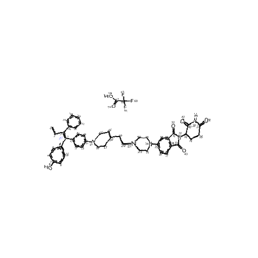 CC/C(=C(\c1ccc(O)cc1)c1ccc(N2CCC(CCN3CCN(c4ccc5c(c4)C(=O)N(C4CCC(=O)NC4=O)C5=O)CC3)CC2)cc1)c1ccccc1.O=C(O)C(F)(F)F